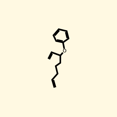 C=CCCCC(C=C)Oc1ccccc1